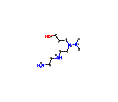 CN(C)N(CCCO)CCNCCN